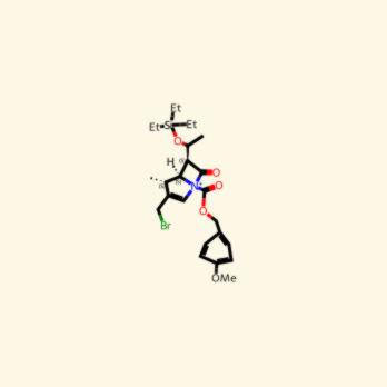 CC[Si](CC)(CC)OC(C)[C@H]1C(=O)[N+]2(C(=O)OCc3ccc(OC)cc3)C=C(CBr)[C@H](C)[C@@H]12